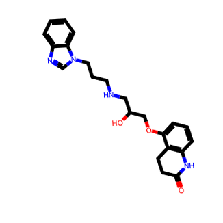 O=C1CCc2c(cccc2OCC(O)CNCCCn2cnc3ccccc32)N1